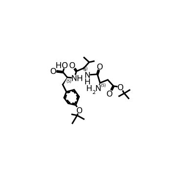 CC(C)[C@H](NC(=O)[C@@H](N)CC(=O)OC(C)(C)C)C(=O)N[C@@H](Cc1ccc(OC(C)(C)C)cc1)C(=O)O